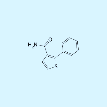 NC(=O)c1ccsc1-c1ccccc1